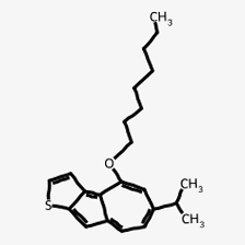 CCCCCCCCOc1cc(C(C)C)ccc2cc3sccc3c1-2